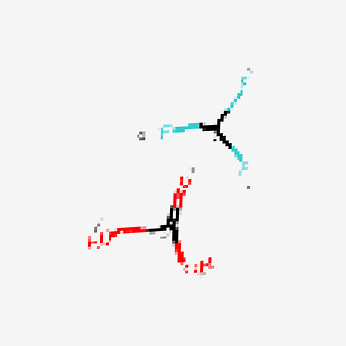 FC(F)F.O=C(O)O